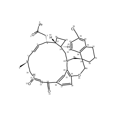 CC(C)C(=O)C[C@H]1/C=C/C[C@H](C)C/[SH](=O)=N\C(=O)c2ccc3c(c2)N(C[C@@H]2CC[C@H]21)C[C@@]1(CCCc2cc(Cl)ccc21)CO3